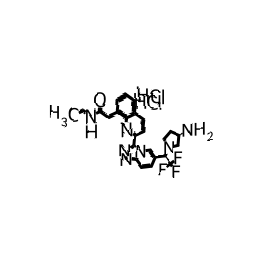 CCNC(=O)Cc1cccc2ccc(-c3nnc4ccc([C@@H](N5CC[C@H](N)C5)C(F)(F)F)cn34)nc12.Cl.Cl